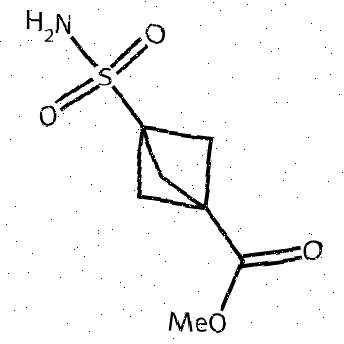 COC(=O)C12CC(S(N)(=O)=O)(C1)C2